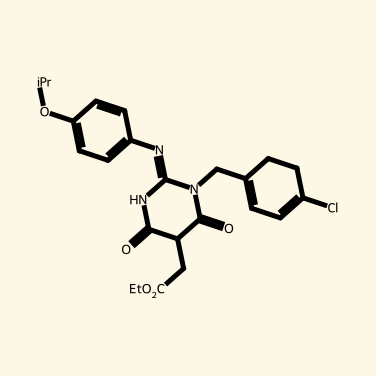 CCOC(=O)CC1C(=O)N/C(=N\c2ccc(OC(C)C)cc2)N(CC2=CC=C(Cl)CC2)C1=O